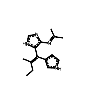 CC/C(C)=C(\c1cc[nH]c1)c1[nH]cnc1N=C(C)C